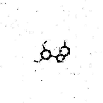 COc1cc(OC)cc(-c2cnc3ccc(Cl)nn23)c1